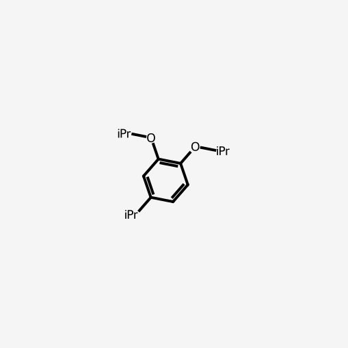 CC(C)Oc1ccc(C(C)C)cc1OC(C)C